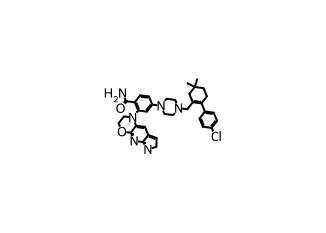 CC1(C)CCC(c2ccc(Cl)cc2)=C(CN2CCN(c3ccc(C(N)=O)c(N4CCOc5nc6c(cc54)=CCN=6)c3)CC2)C1